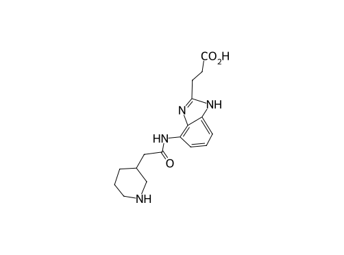 O=C(O)CCc1nc2c(NC(=O)CC3CCCNC3)cccc2[nH]1